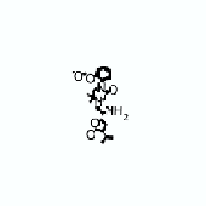 COCOc1ccccc1N1CC(C)(C)N(CC(N)[C@@H]2C[C@@H](C(C)C)C(=O)O2)CC1=O